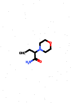 NC(=O)C(CC=O)N1CCOCC1